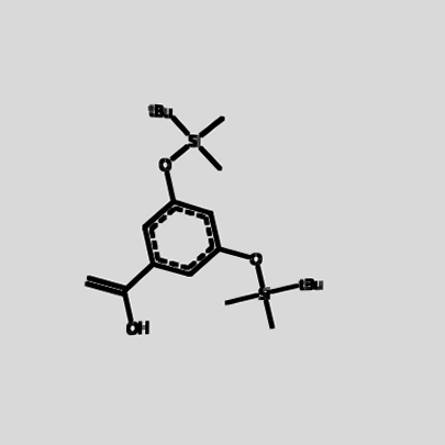 C=C(O)c1cc(O[Si](C)(C)C(C)(C)C)cc(O[Si](C)(C)C(C)(C)C)c1